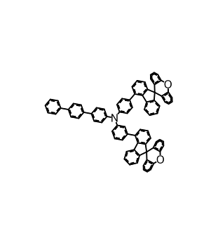 c1ccc(-c2ccc(-c3ccc(N(c4ccc(-c5cccc6c5-c5ccccc5C65c6ccccc6Oc6ccccc65)cc4)c4cccc(-c5cccc6c5-c5ccccc5C65c6ccccc6Oc6ccccc65)c4)cc3)cc2)cc1